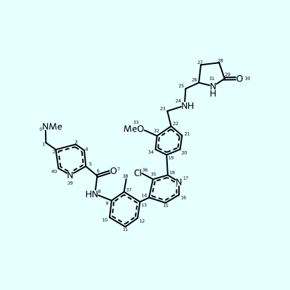 CNCc1ccc(C(=O)Nc2cccc(-c3ccnc(-c4ccc(CNCC5CCC(=O)N5)c(OC)c4)c3Cl)c2C)nc1